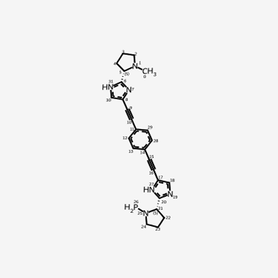 CN1CCC[C@H]1c1nc(C#Cc2ccc(C#Cc3cnc([C@@H]4CCCN4P)[nH]3)cc2)c[nH]1